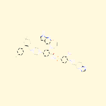 CC1(C)CCC(CN2CCN(c3ccc(C(=O)NS(=O)(=O)c4ccc(NCC5CCc6nccn6C5)c([N+](=O)[O-])c4)c(N4CCCOc5nc6[nH]ccc6cc54)c3)CC2)=C(c2ccc(Cl)cc2)C1